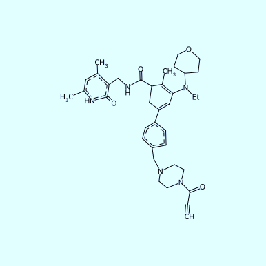 C#CC(=O)N1CCN(Cc2ccc(C3=CC(N(CC)C4CCOCC4)=C(C)C(C(=O)NCc4c(C)cc(C)[nH]c4=O)C3)cc2)CC1